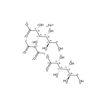 CC(=O)OC(C)=O.O=C([O-])[C@H](O)[C@@H](O)[C@H](O)[C@H](O)CO.O=C([O-])[C@H](O)[C@@H](O)[C@H](O)[C@H](O)CO.[Fe+2]